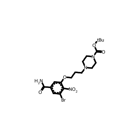 CC(C)(C)OC(=O)N1CCN(CCCOc2cc(C(N)=O)cc(Br)c2[N+](=O)[O-])CC1